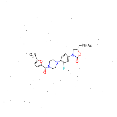 CC(=O)NC[C@H]1CN(c2ccc(N3CCN(C(=O)c4ccc([N+](=O)[O-])o4)CC3)c(F)c2)C(=O)O1